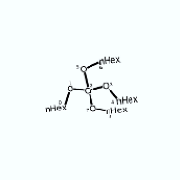 CCCCCC[O][Cr]([O]CCCCCC)([O]CCCCCC)[O]CCCCCC